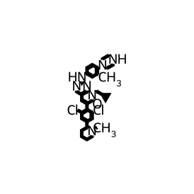 Cc1cc(Nc2ncc3cc(-c4c(Cl)cc(C5CCCCN5C)cc4Cl)c(=O)n(CC4CC4)c3n2)ccc1N1CCNCC1